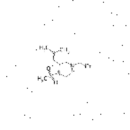 C[C](C)CN1CCN(S(C)(=O)=O)C(CN(C)C)C1